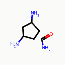 NC1CCC(N)C1.NC=O